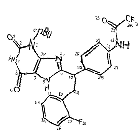 CCCCn1c(=O)[nH]c(=O)c2[nH]c(C(Cc3ccccc3F)c3ccc(NC(=O)C(F)(F)F)cc3)nc21